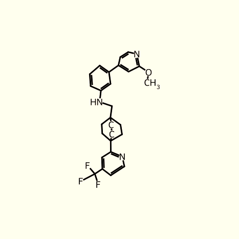 COc1cc(-c2cccc(NCC34CCC(c5cc(C(F)(F)F)ccn5)(CC3)CC4)c2)ccn1